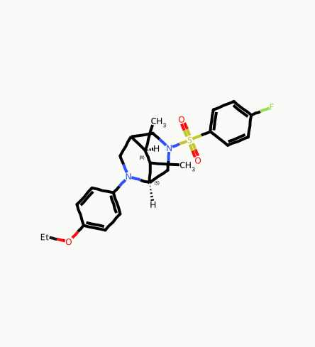 CCOc1ccc(N2CC3CN(S(=O)(=O)c4ccc(F)cc4)C[C@@H]2C(C)[C@@H]3C)cc1